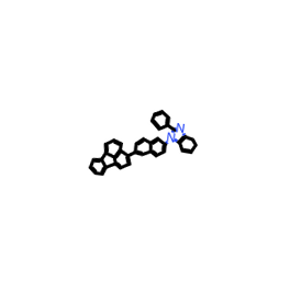 C1=Cc2c(nc(-c3ccccc3)n2-c2ccc3cc(-c4ccc5c6c(cccc46)-c4ccccc4-5)ccc3c2)CC1